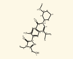 CCn1c(CO)nn(-c2cc3c(C(C)C)cn(C4CCCC(OC)C4)c(=O)c3cc2F)c1=O